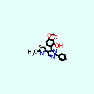 CC1=NC(C2C=NC(C3C=CC=CC3)=NC2C2=C(O)C3OCOC3CC2)CS1